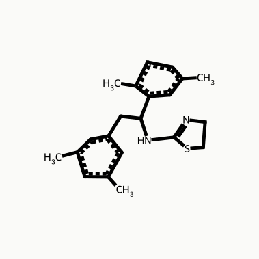 Cc1cc(C)cc(CC(NC2=NCCS2)c2cc(C)ccc2C)c1